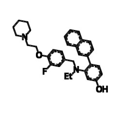 CCN(Cc1ccc(OCCN2CCCCC2)c(F)c1)c1cc(O)ccc1-c1ccc2ccccc2c1